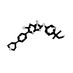 CC(C)(CF)c1ccc(Oc2nc3nc(-c4ccc(C5=CCOCC5)cc4)c(Cl)cc3[nH]2)cn1